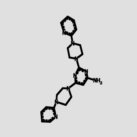 Nc1cc(N2CCN(c3ccccn3)CC2)nc(N2CCN(c3ccccn3)CC2)n1